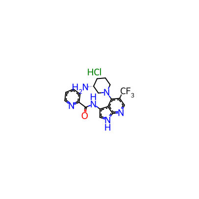 Cl.N[C@@H]1CCCN(c2c(C(F)(F)F)cnc3[nH]cc(NC(=O)c4ccccn4)c23)C1